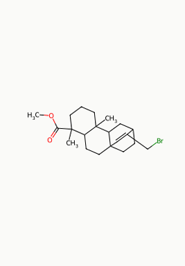 COC(=O)C1(C)CCCC2(C)C3CC4CCC3(C=C4CBr)CCC12